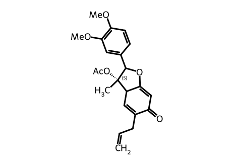 C=CCC1=CC2C(=CC1=O)OC(c1ccc(OC)c(OC)c1)[C@@]2(C)OC(C)=O